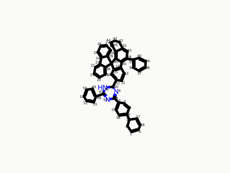 C1=CCC(c2ccc(C3=NC(c4ccc5c(c4)C4(c6ccccc6-c6ccccc64)c4c6c(cc(-c7ccccc7)c4-5)CCC=C6)NC(c4ccccc4)=N3)cc2)C=C1